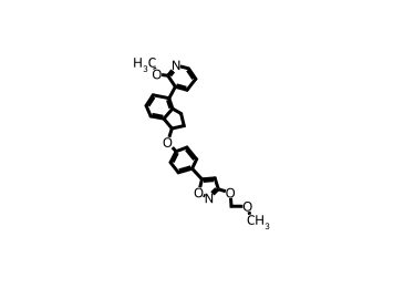 COCOc1cc(-c2ccc(OC3CCc4c(-c5cccnc5OC)cccc43)cc2)on1